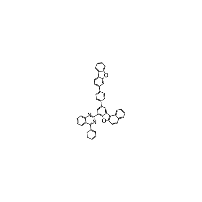 C1=CCCC(c2nc(-c3cc(-c4ccc(-c5ccc6c(c5)oc5ccccc56)cc4)cc4c3oc3ccc5ccccc5c34)nc3ccccc23)=C1